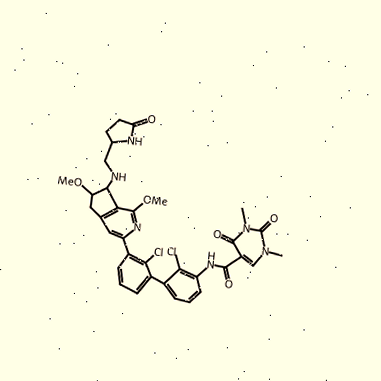 COc1nc(-c2cccc(-c3cccc(NC(=O)c4cn(C)c(=O)n(C)c4=O)c3Cl)c2Cl)cc2c1C(NCC1CCC(=O)N1)C(OC)C2